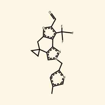 Cc1ccc(Cn2cc3c(n2)-c2c(oc(C=O)c2C(F)(F)F)CC32CC2)nc1